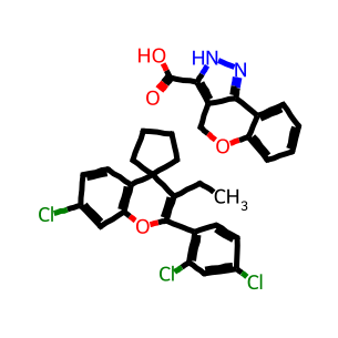 CCC1=C(c2ccc(Cl)cc2Cl)Oc2cc(Cl)ccc2C12CCCC2.O=C(O)c1[nH]nc2c1COc1ccccc1-2